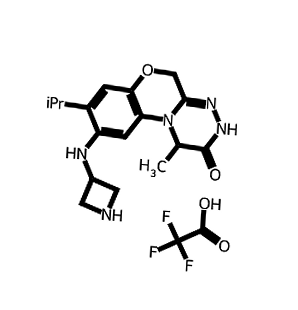 CC(C)c1cc2c(cc1NC1CNC1)N1C(=NNC(=O)C1C)CO2.O=C(O)C(F)(F)F